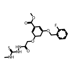 CNC(=S)NNC(=O)COC1C=C(C(=O)OC)C=C(OCc2ccccc2F)C1